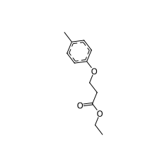 CCOC(=O)CCOc1ccc(C)cc1